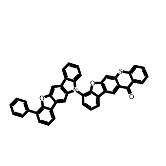 O=c1c2ccccc2sc2cc3oc4c(-n5c6ccccc6c6cc7oc8c(-c9ccccc9)cccc8c7cc65)cccc4c3cc12